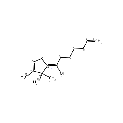 C=CCCCC/C(O)=C1\CC=C(C)C1(C)C